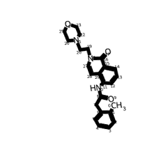 Cc1ccccc1CC(=O)Nc1cccc2c(=O)n(CCN3CCOCC3)ccc12